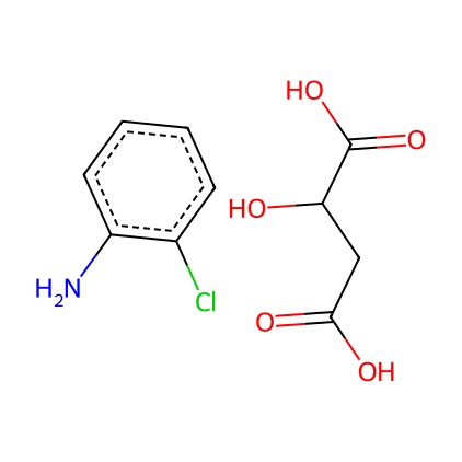 Nc1ccccc1Cl.O=C(O)CC(O)C(=O)O